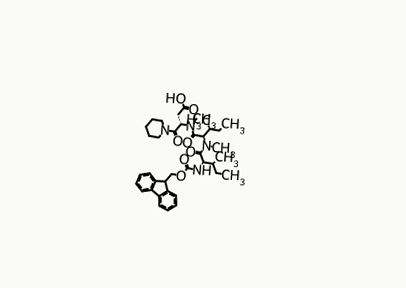 CC[C@H](C)[C@H](NC(=O)OCC1c2ccccc2-c2ccccc21)C(=O)N(C)[C@@H](C(=O)N(C)[C@@H](CC(=O)O)C(=O)N1CCCCC1)[C@@H](C)CC